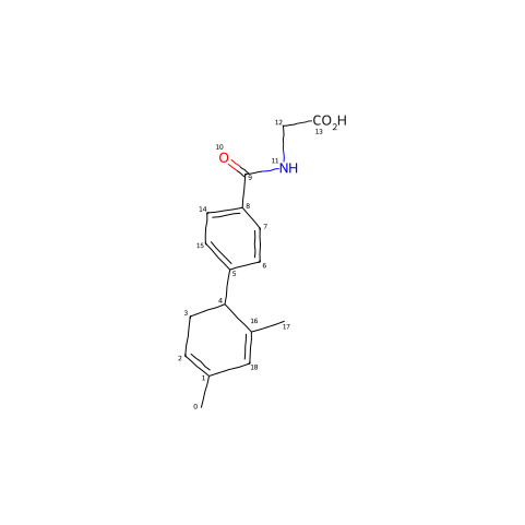 CC1=CCC(c2ccc(C(=O)NCC(=O)O)cc2)C(C)=C1